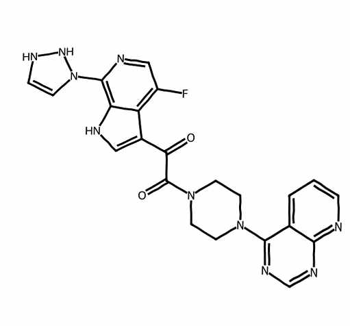 O=C(C(=O)N1CCN(c2ncnc3ncccc23)CC1)c1c[nH]c2c(N3C=CNN3)ncc(F)c12